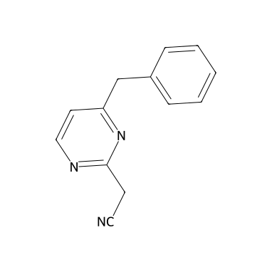 N#CCc1nccc(Cc2ccccc2)n1